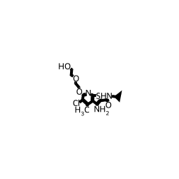 Cc1c(Cl)c(OCCOCCO)nc2sc(C(=O)NC3CC3)c(N)c12